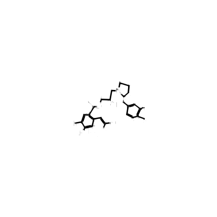 CCC(=Cc1cc(F)c(Cl)cc1[C@@H](C)OC[C@H](O)CN1CCC[C@H]1Cc1ccc(C)c(F)c1)C(=O)O